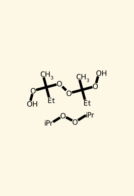 CC(C)OOC(C)C.CCC(C)(OO)OOC(C)(CC)OO